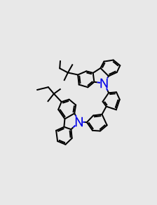 CCC(C)(C)c1ccc2c(c1)c1ccccc1n2-c1cccc(-c2cccc(-n3c4ccccc4c4cc(C(C)(C)CC)ccc43)c2)c1